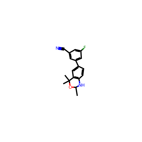 CC1Nc2ccc(-c3cc(F)cc(C#N)c3)cc2C(C)(C)O1